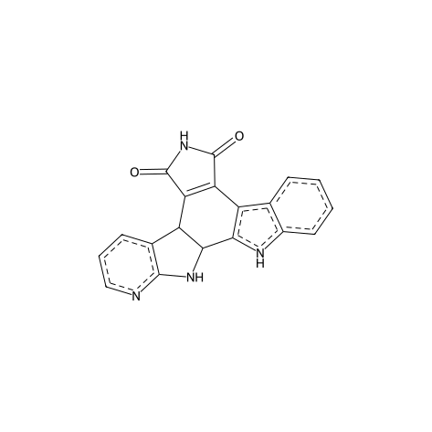 O=C1NC(=O)C2=C1c1c([nH]c3ccccc13)C1Nc3ncccc3C21